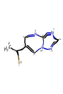 CC(S)c1cnc2ncnn2c1